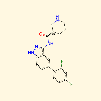 O=C(Nc1n[nH]c2ccc(-c3ccc(F)cc3F)cc12)[C@@H]1CCCNC1